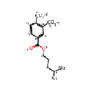 CCC(CC)CCCOC(=O)c1ccc(C(=O)O)c(C(=O)O)c1